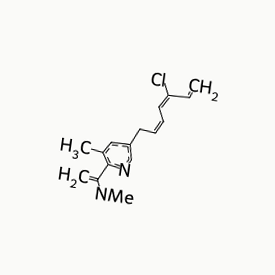 C=C/C(Cl)=C\C=C/Cc1cnc(C(=C)NC)c(C)c1